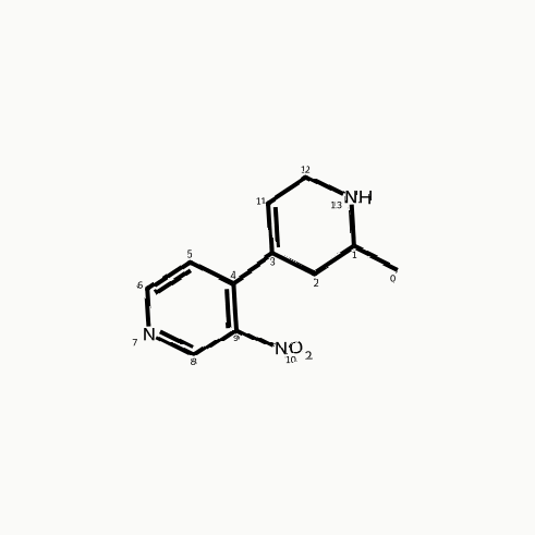 CC1CC(c2ccncc2[N+](=O)[O-])=CCN1